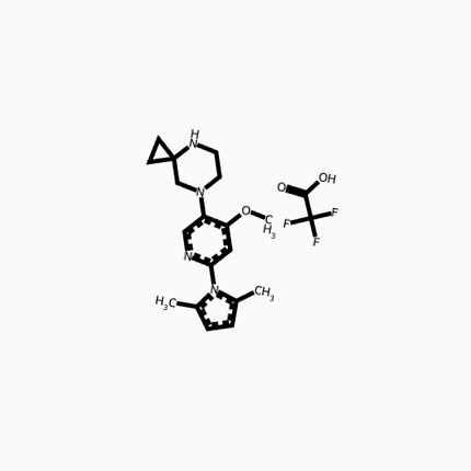 COc1cc(-n2c(C)ccc2C)ncc1N1CCNC2(CC2)C1.O=C(O)C(F)(F)F